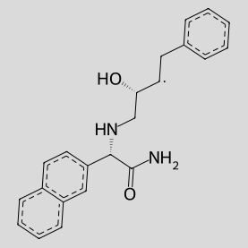 NC(=O)[C@@H](NC[C@H](O)[CH]Cc1ccccc1)c1ccc2ccccc2c1